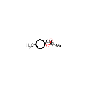 COC(=O)OC1(C)CCC=C(C)CCC1